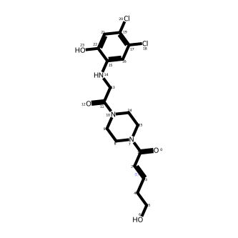 O=C(/C=C/CCO)N1CCN(C(=O)CNc2cc(Cl)c(Cl)cc2O)CC1